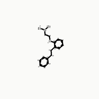 CCN(CC)CCOc1ccccc1CCc1ccccc1